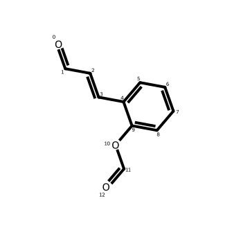 O=CC=Cc1ccccc1OC=O